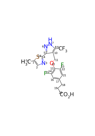 Cc1cnc(-c2n[nH]c(C(F)(F)F)c2COc2c(F)cc(CCC(=O)O)cc2F)s1